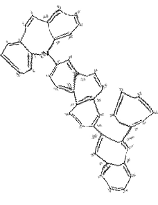 C1=Cc2ccccc2N(c2ccc3c(ccc4cc(-c5cc6ccccc6cc5-c5ccccc5)ccc43)c2)c2ccccc21